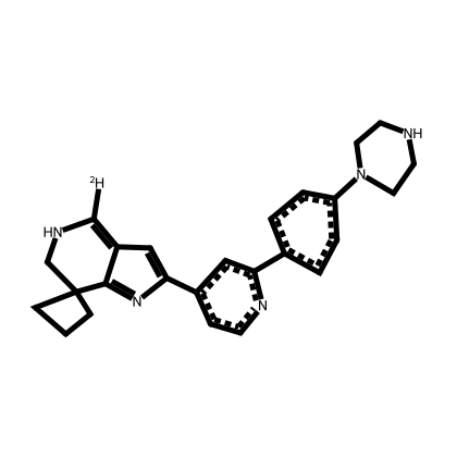 [2H]C1=C2C=C(c3ccnc(-c4ccc(N5CCNCC5)cc4)c3)N=C2C2(CCC2)CN1